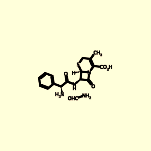 CC1=C(C(=O)O)N2C(=O)[C@@H](NC(=O)[C@H](N)c3ccccc3)[C@H]2SC1.NC=O